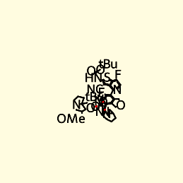 COC1CN2CCCC2(COc2nc(N3C4CCC3CN(C(=O)OC(C)(C)C)C4)c3c4c(c(-c5ncc(F)c6sc(NC(=O)OC(C)(C)C)c(C#N)c56)c(F)c3n2)COC4)C1